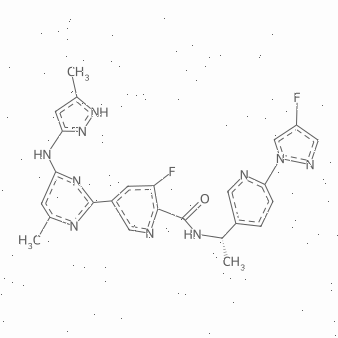 Cc1cc(Nc2cc(C)[nH]n2)nc(-c2cnc(C(=O)N[C@@H](C)c3ccc(-n4cc(F)cn4)nc3)c(F)c2)n1